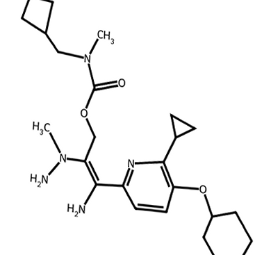 CN(CC1CCC1)C(=O)OC/C(=C(/N)c1ccc(OC2CCCCC2)c(C2CC2)n1)N(C)N